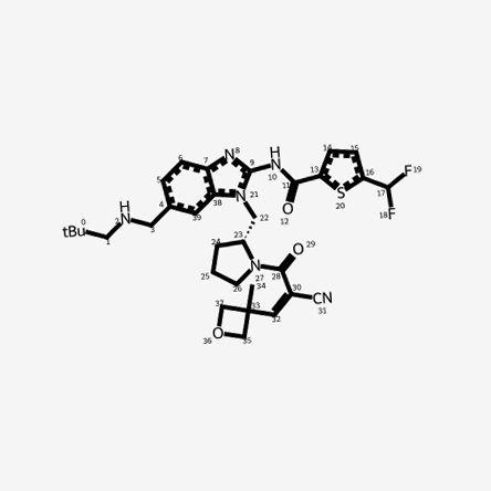 CC(C)(C)CNCc1ccc2nc(NC(=O)c3ccc(C(F)F)s3)n(C[C@H]3CCCN3C(=O)/C(C#N)=C\C3(C)COC3)c2c1